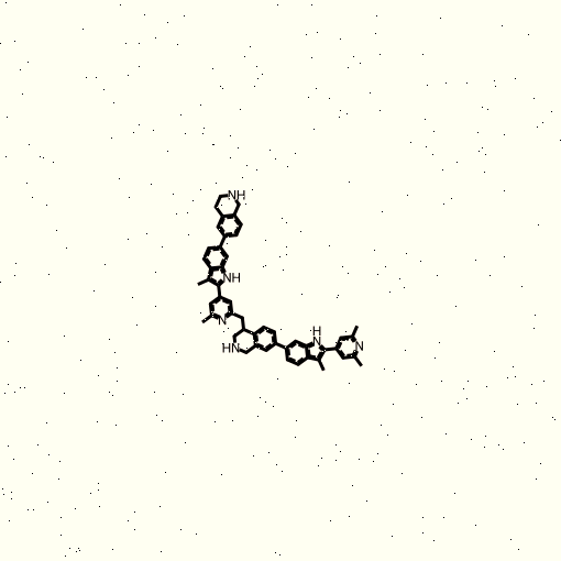 Cc1cc(-c2[nH]c3cc(-c4ccc5c(c4)CNCC5Cc4cc(-c5[nH]c6cc(-c7ccc8c(c7)CCNC8)ccc6c5C)cc(C)n4)ccc3c2C)cc(C)n1